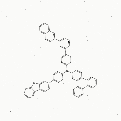 c1ccc(-c2ccccc2-c2ccc(N(c3ccc(-c4cccc(-c5ccc6ccccc6c5)c4)cc3)c3ccc(-c4ccc5c(c4)oc4ccccc45)cc3)cc2)cc1